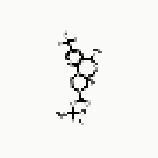 CC(C)(C)OC(=O)N1CCN2c3ncc(C(F)(F)F)cc3C(O)OC[C@@H]2C1